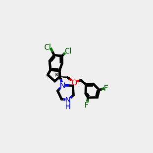 Fc1cc(F)cc(COC[C@@]2(N3CCNCC3)CCc3cc(Cl)c(Cl)cc32)c1